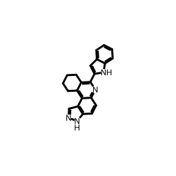 c1ccc2[nH]c(-c3nc4ccc5[nH]ncc5c4c4c3CCCC4)cc2c1